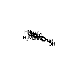 Cl.NC(=O)C1(c2ccc(C(=O)N[C@H]3CC[C@H](CCC(=O)O)CC3)cc2)CCNCC1